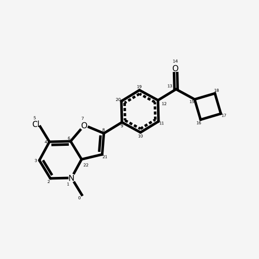 CN1C=CC(Cl)=C2OC(c3ccc(C(=O)C4CCC4)cc3)=CC21